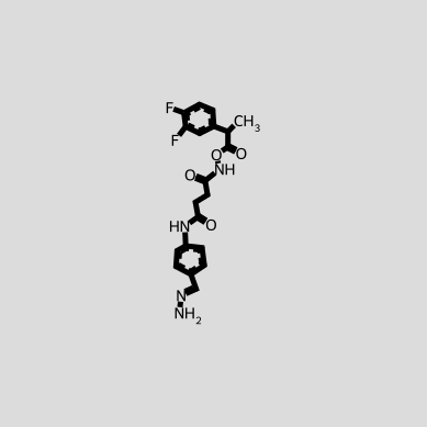 CC(C(=O)ONC(=O)CCC(=O)Nc1ccc(C=NN)cc1)c1ccc(F)c(F)c1